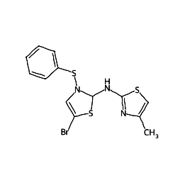 Cc1csc(NC2SC(Br)=CN2Sc2ccccc2)n1